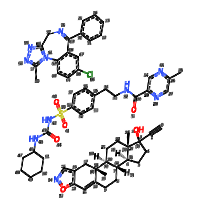 C#C[C@]1(O)CC[C@H]2[C@@H]3CCC4=Cc5oncc5C[C@]4(C)[C@H]3CC[C@@]21C.Cc1cnc(C(=O)NCCc2ccc(S(=O)(=O)NC(=O)NC3CCCCC3)cc2)cn1.Cc1nnc2n1-c1ccc(Cl)cc1C(c1ccccc1)=NC2